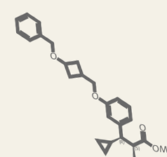 COC(=O)[C@@H](C)[C@H](c1cccc(OCC2CC(OCc3ccccc3)C2)c1)C1CC1